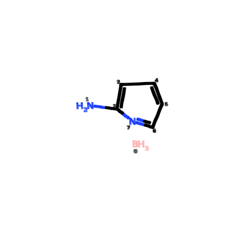 B.Nc1ccccn1